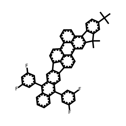 CC(C)(C)c1ccc2c(c1)C(C)(C)c1cc3c4ccc5c6c(ccc(c7cccc(c1-2)c73)c64)-c1cc2c(-c3cc(F)cc(F)c3)c3ccccc3c(-c3cc(F)cc(F)c3)c2cc1-5